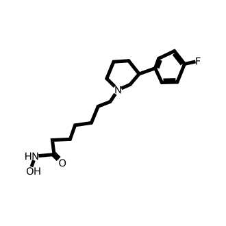 O=C(CCCCCCN1CCCC(c2ccc(F)cc2)C1)NO